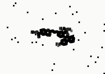 COC(=O)c1ccc(OC(=O)CCCc2ccc(NC(=O)c3ccccc3-c3ccc(C(F)(F)F)cc3)c(C(=O)N(C)C)c2)c(C(C)C)c1